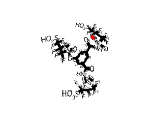 O=C(NS(=O)(=O)C(F)(F)C(F)(F)C(F)(F)S(=O)(=O)O)c1cc(OS(=O)(=O)C(F)(F)C(F)(F)C(F)(F)S(=O)(=O)O)cc(C(=O)NS(=O)(=O)C(F)(F)C(F)(F)C(F)(F)S(=O)(=O)O)c1